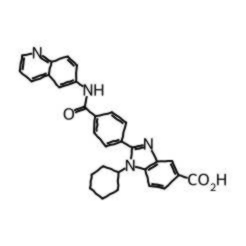 O=C(O)c1ccc2c(c1)nc(-c1ccc(C(=O)Nc3ccc4ncccc4c3)cc1)n2C1CCCCC1